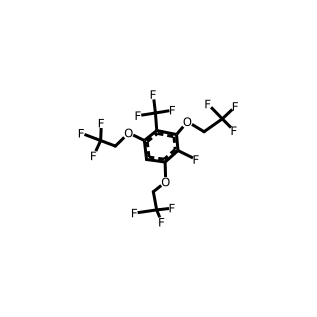 Fc1c(OCC(F)(F)F)cc(OCC(F)(F)F)c(C(F)(F)F)c1OCC(F)(F)F